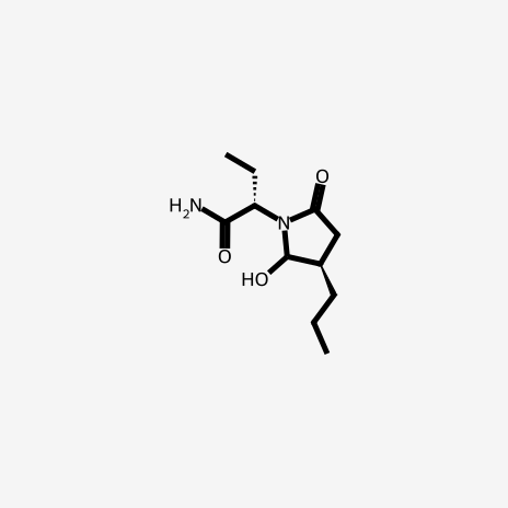 CCC[C@@H]1CC(=O)N([C@@H](CC)C(N)=O)C1O